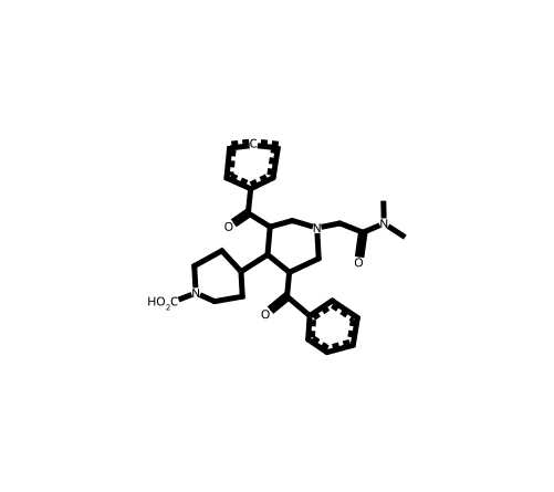 CN(C)C(=O)CN1CC(C(=O)c2ccccc2)C(C2CCN(C(=O)O)CC2)C(C(=O)c2ccccc2)C1